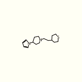 c1ccn(C2CCN(CCC3CCSCC3)CC2)c1